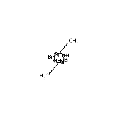 CCCCCCCCCCc1c2nc(c(Br)c3ccc([nH]3)c(CCCCCCCCCC)c3nc(c(Br)c4ccc1[nH]4)C=C3)C=C2